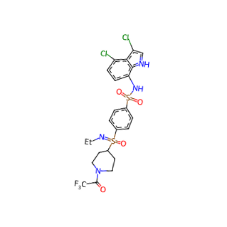 CCN=S(=O)(c1ccc(S(=O)(=O)Nc2ccc(Cl)c3c(Cl)c[nH]c23)cc1)C1CCN(C(=O)C(F)(F)F)CC1